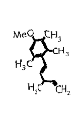 C=CC(C)/C=C/c1c(C)cc(OC)c(C)c1C